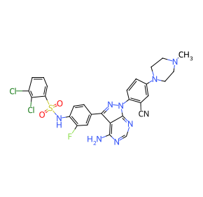 CN1CCN(c2ccc(-n3nc(-c4ccc(NS(=O)(=O)c5cccc(Cl)c5Cl)c(F)c4)c4c(N)ncnc43)c(C#N)c2)CC1